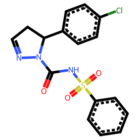 O=C(NS(=O)(=O)c1ccccc1)N1N=CCC1c1ccc(Cl)cc1